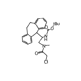 CN(CC(NC(=O)OC(C)(C)C)C1c2ccccc2CCc2ccccc21)C(=O)CCl